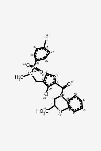 CN(Cc1csc(C(=O)N2CC(C(=O)O)Oc3ccccc32)c1Cl)S(=O)(=O)c1ccc(Cl)cc1